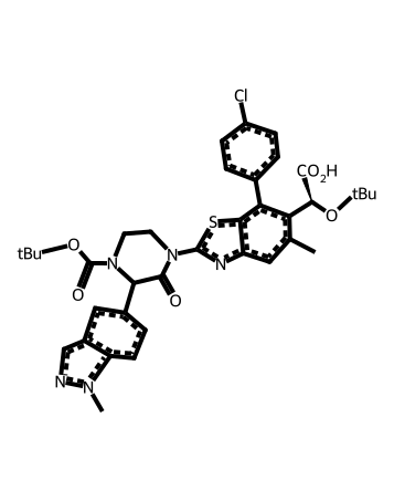 Cc1cc2nc(N3CCN(C(=O)OC(C)(C)C)C(c4ccc5c(cnn5C)c4)C3=O)sc2c(-c2ccc(Cl)cc2)c1[C@H](OC(C)(C)C)C(=O)O